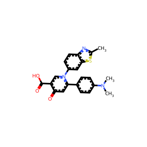 Cc1nc2ccc(-n3cc(C(=O)O)c(=O)cc3-c3ccc(N(C)C)cc3)cc2s1